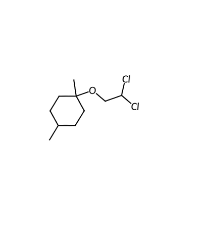 CC1CCC(C)(OCC(Cl)Cl)CC1